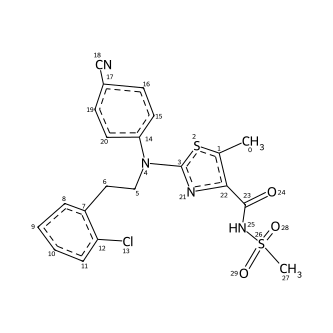 Cc1sc(N(CCc2ccccc2Cl)c2ccc(C#N)cc2)nc1C(=O)NS(C)(=O)=O